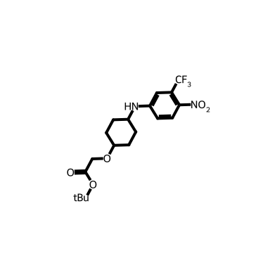 CC(C)(C)OC(=O)COC1CCC(Nc2ccc([N+](=O)[O-])c(C(F)(F)F)c2)CC1